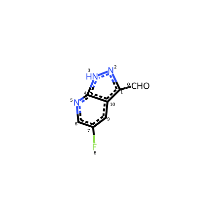 O=Cc1n[nH]c2ncc(F)cc12